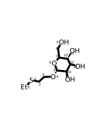 CCSCCO[C@@H]1OC(CO)[C@@H](O)C(O)C1O